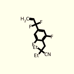 C=CC(F)(F)c1cc(F)c(CC(C#N)(CC)CC)c(F)c1